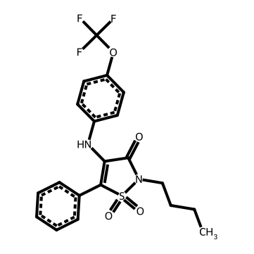 CCCCN1C(=O)C(Nc2ccc(OC(F)(F)F)cc2)=C(c2ccccc2)S1(=O)=O